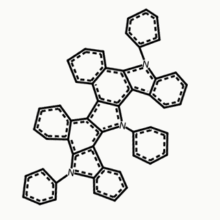 c1ccc(-n2c3ccccc3c3c2c2ccccc2c2c4c5ccccc5c5c(c6ccccc6n5-c5ccccc5)c4n(-c4ccccc4)c23)cc1